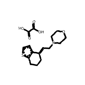 C(CN1CCOCC1)=C1CCCc2sccc21.O=C(O)C(=O)O